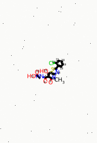 Cn1c(=O)c(C(=O)NCC(=O)O)c(O)c2sc(-c3ccccc3Cl)nc21